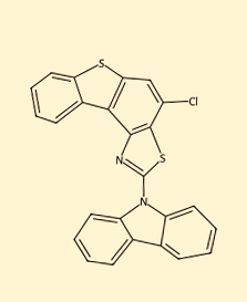 Clc1cc2sc3ccccc3c2c2nc(-n3c4ccccc4c4ccccc43)sc12